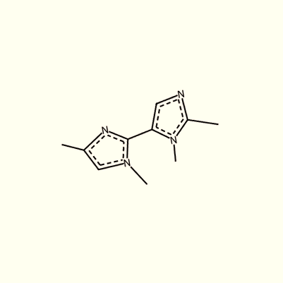 Cc1cn(C)c(-c2cnc(C)n2C)n1